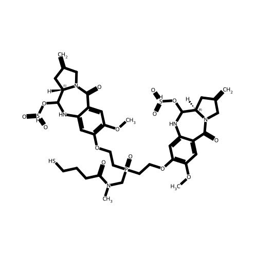 C=C1C[C@@H]2C(O[SH](=O)=O)Nc3cc(OCCP(=O)(CCOc4cc5c(cc4OC)C(=O)N4CC(=C)C[C@H]4C(O[SH](=O)=O)N5)CN(C)C(=O)CCCS)c(OC)cc3C(=O)N2C1